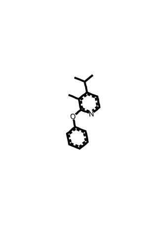 Cc1c(C(C)C)ccnc1Oc1ccccc1